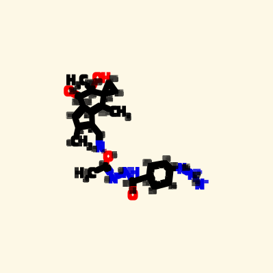 CC1=C(C=NO/C(C)=N\NC(=O)c2ccc(N=[N+]=[N-])cc2)C2=C(C)C3(CC3)[C@@](C)(O)C(=O)C2=C1